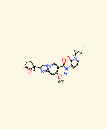 CC(C)Oc1cc2nc(C34CC[C@@](C)(C3)OC4)cn2cc1C(=O)Nc1cccn([C@@H]2C[C@@H]2F)c1=O